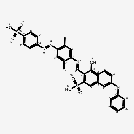 Cc1cc(N=Nc2c(S(=O)(=O)O)cc3cc(Nc4ccccc4)ccc3c2O)c(C)cc1N=Nc1ccc(S(=O)(=O)O)cc1